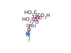 O=C(O)CC[C@@H](C(=O)O)N1C(=O)CC(=O)N(C(CCCCNC(=O)c2ccc(-n3cc(CCCF)nn3)cc2)C(=O)O)C1=O